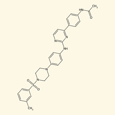 CC(=O)Nc1ccc(-c2ccnc(Nc3ccc(N4CCN(S(=O)(=O)c5cccc(C)c5)CC4)cc3)n2)cc1